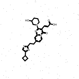 O=C(O)C=Cc1c(N2CCCC(O)C2)nc2cc(CCc3nc(C4CCC4)cs3)ccn2c1=O